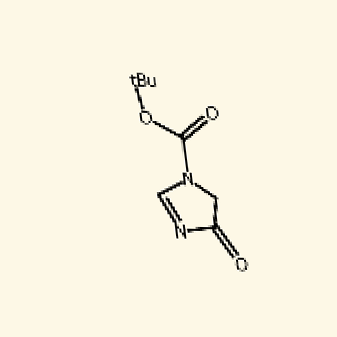 CC(C)(C)OC(=O)N1C=NC(=O)C1